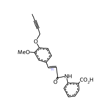 CC#CCOc1ccc(/C=C/C(=O)Nc2ccccc2C(=O)O)cc1OC